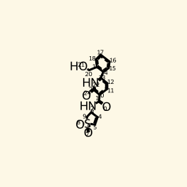 O=C(N[C@@H]1C=CS(=O)(=O)C1)c1ccc(-c2ccccc2CO)[nH]c1=O